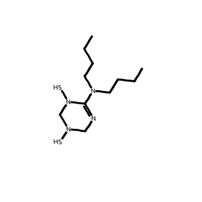 CCCCN(CCCC)C1=NCN(S)CN1S